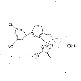 CC1=N[C@@]2(N=C1N)c1cc(-c3cc(Cl)cc(C#N)c3)ccc1C[C@]21CC[C@@H](O)CC1